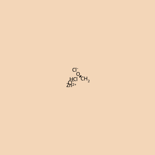 C=O.Cl.[Cl-].[Cl-].[Zn+2]